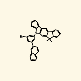 CC1(C)c2ccccc2-c2cc3c4ccccc4n(-c4cc(Br)cc(-c5ccc6ccccc6c5)c4)c3cc21